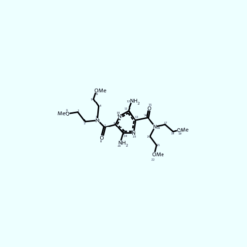 COCCN(CCOC)C(=O)c1nc(N)c(C(=O)N(CCOC)CCOC)nc1N